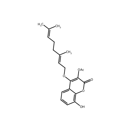 CC(=O)Oc1c(OC/C=C(\C)CCC=C(C)C)c2cccc(O)c2oc1=O